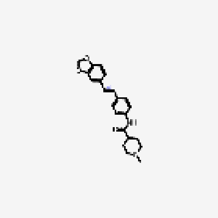 CN1CCC(C(=O)Nc2ccc(/C=C/c3ccc4c(c3)OCO4)cc2)CC1